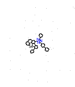 c1ccc(-c2ccc(-c3nc(-c4ccccc4)nc(-c4cc5ccc6ccccc6c5c5[se]c6c(-c7ccccc7)cccc6c45)n3)cc2)cc1